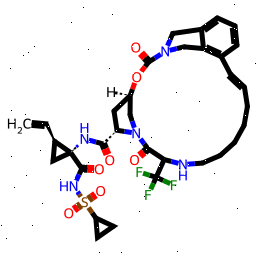 C=C[C@@H]1C[C@]1(NC(=O)[C@@H]1C[C@@H]2CN1C(=O)C(C(F)(F)F)NCCCCC/C=C/c1cccc3c1CN(C3)C(=O)O2)C(=O)NS(=O)(=O)C1CC1